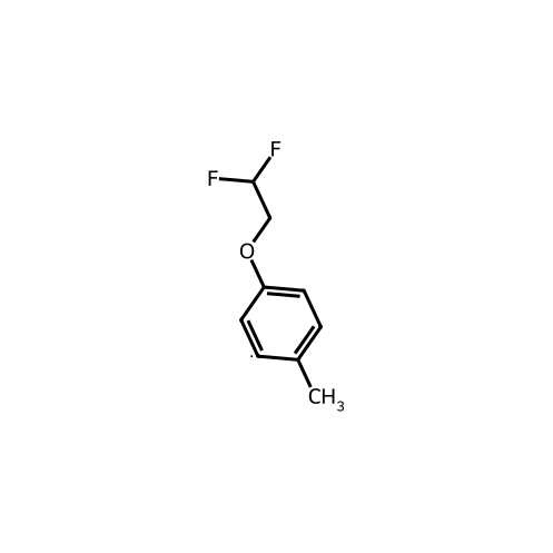 Cc1[c]cc(OCC(F)F)cc1